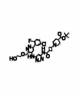 CC(C)(C)OC(=O)C1CCN(C2CC(C(=O)Nc3cc(Nc4cc(-c5cc(Cl)ccc5F)nnc4COCCO)ncn3)C2)CC1